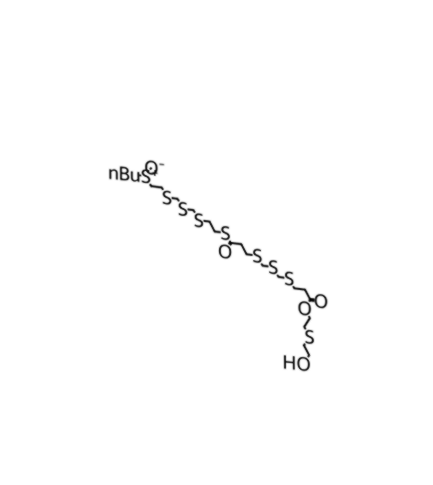 CCCC[S+]([O-])CCSCSCSCCSC(=O)CCSCSCSCCC(=O)OCCSCCO